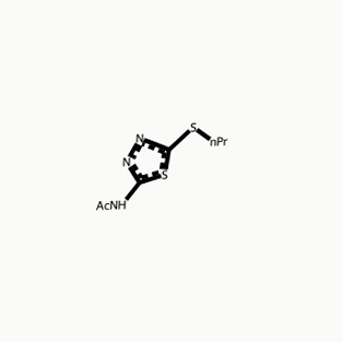 CCCSc1nnc(NC(C)=O)s1